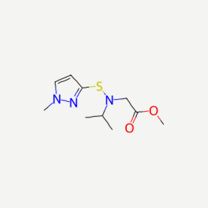 COC(=O)CN(Sc1ccn(C)n1)C(C)C